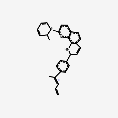 C=C/C=C(\C)c1ccc(C2C=Cc3ccc4ccc([C@@H]5C=CC=CC5C)nc4c3N2)cc1